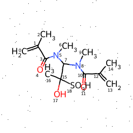 C=C(C)C(=O)N(C)C(N(C)C(=O)C(=C)C)C(C)(O)S(=O)(=O)O